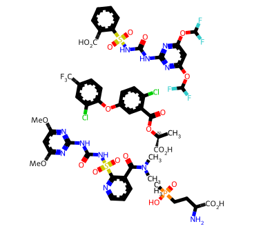 COc1cc(OC)nc(NC(=O)NS(=O)(=O)c2ncccc2C(=O)N(C)C)n1.CP(=O)(O)CCC(N)C(=O)O.C[C@H](OC(=O)c1cc(Oc2ccc(C(F)(F)F)cc2Cl)ccc1Cl)C(=O)O.O=C(Nc1nc(OC(F)F)cc(OC(F)F)n1)NS(=O)(=O)c1ccccc1C(=O)O